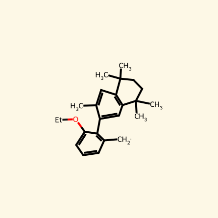 [CH2]c1cccc(OCC)c1-c1cc2c(cc1C)C(C)(C)CCC2(C)C